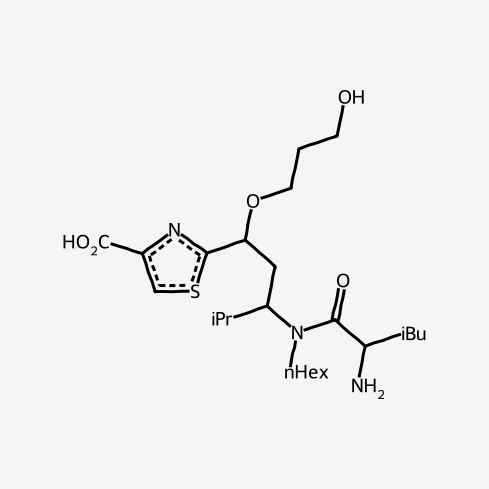 CCCCCCN(C(=O)C(N)C(C)CC)C(CC(OCCCO)c1nc(C(=O)O)cs1)C(C)C